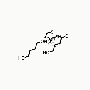 O=C(O)CS.O=C(O)CS.OCCCCO.OCCCCO